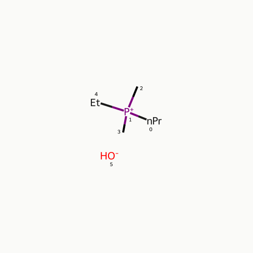 CCC[P+](C)(C)CC.[OH-]